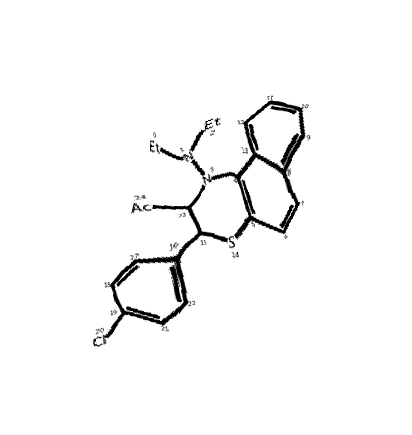 CCN(CC)N1c2c(ccc3ccccc23)SC(c2ccc(Cl)cc2)C1C(C)=O